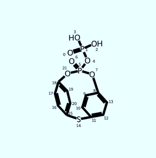 O=P(O)(O)OP1(=O)Oc2ccc(cc2)Sc2ccc(cc2)O1